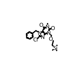 Cn1c(=O)c2c(nc(Cl)n2Cc2ccccc2)n(COCC[Si](C)(C)C)c1=O